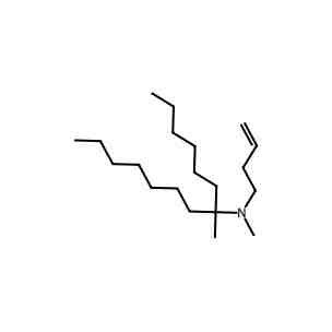 C=CCCN(C)C(C)(CCCCCC)CCCCCCC